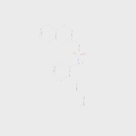 O=C(O)CCCc1ccccc1NS(=O)(=O)Cc1ccc2ccccc2c1